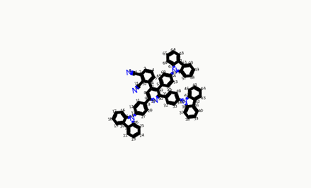 N#Cc1cccc(-c2cc(-c3ccc(-n4c5ccccc5c5ccccc54)cc3)nc(-c3ccc(-n4c5ccccc5c5ccccc54)cc3)c2-c2ccc(-n3c4ccccc4c4ccccc43)cc2)c1C#N